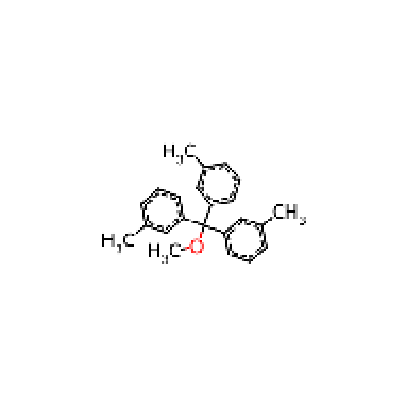 COC(c1cccc(C)c1)(c1cccc(C)c1)c1cccc(C)c1